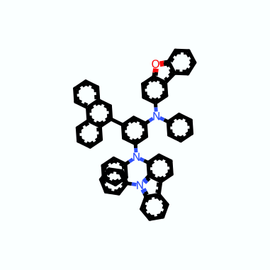 c1ccc(N(c2cc(-c3cc4ccccc4c4ccccc34)cc(N(c3ccccc3)c3cccc4c5ccccc5n(-c5ccccc5)c34)c2)c2ccc3oc4ccccc4c3c2)cc1